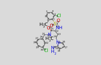 Cc1cccc(Cl)c1S(=O)(=O)NC(CCn1cccc1N)C(=O)N(C)Cc1cccc(Cl)c1